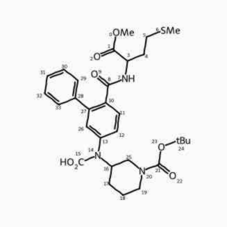 COC(=O)C(CCSC)NC(=O)c1ccc(N(C(=O)O)C2CCCN(C(=O)OC(C)(C)C)C2)cc1-c1ccccc1